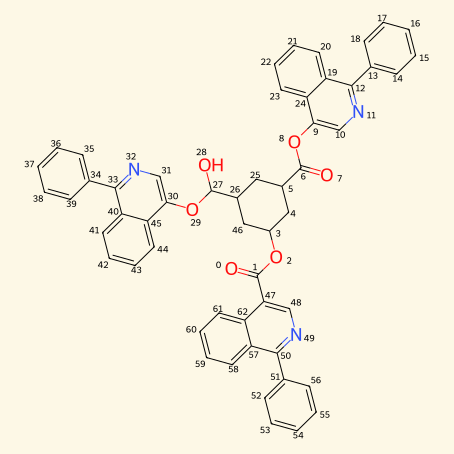 O=C(OC1CC(C(=O)Oc2cnc(-c3ccccc3)c3ccccc23)CC(C(O)Oc2cnc(-c3ccccc3)c3ccccc23)C1)c1cnc(-c2ccccc2)c2ccccc12